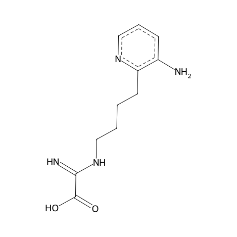 N=C(NCCCCc1ncccc1N)C(=O)O